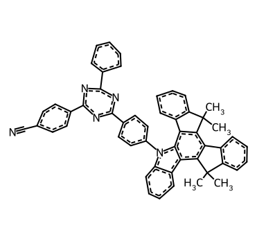 CC1(C)c2ccccc2-c2c1c1c(c3c4ccccc4n(-c4ccc(-c5nc(-c6ccccc6)nc(-c6ccc(C#N)cc6)n5)cc4)c23)C(C)(C)c2ccccc2-1